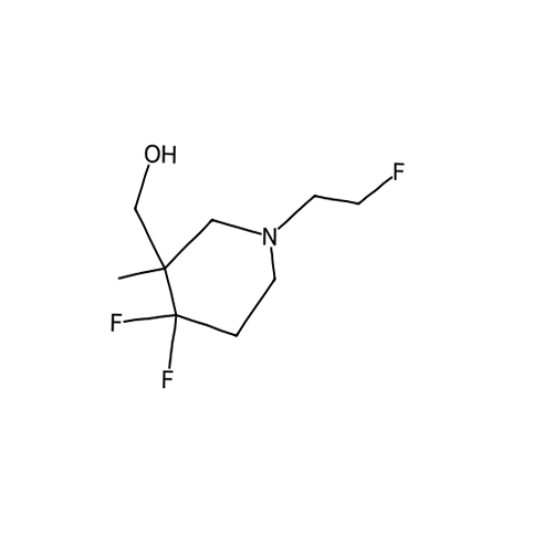 CC1(CO)CN(CCF)CCC1(F)F